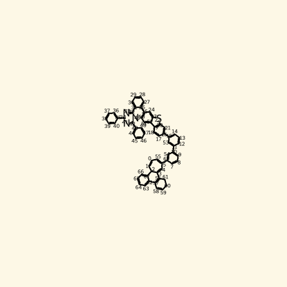 C1=CC2C(=CC(c3cccc(-c4cccc(-c5ccc6c(c5)sc5cc(-c7ccccc7-c7nc(-c8ccccc8)nc(-c8ccccc8)n7)ccc56)c4)c3)=C1)C1=C(C=CCC1)c1ccccc12